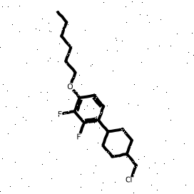 CCCCCCOc1ccc(C2CCC(CCl)CC2)c(F)c1F